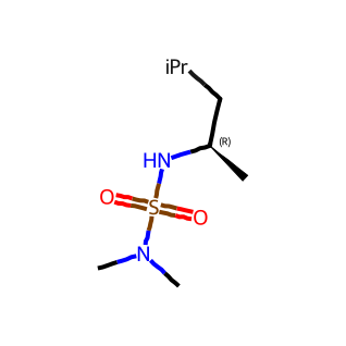 CC(C)C[C@@H](C)NS(=O)(=O)N(C)C